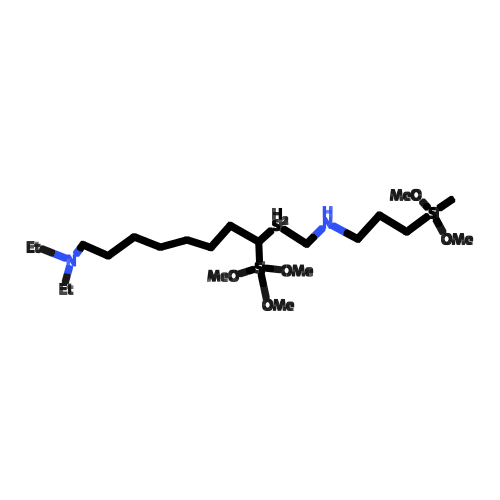 CCN(CC)CCCCCCCC([SiH2]CNCCC[Si](C)(OC)OC)[Si](OC)(OC)OC